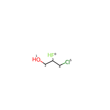 F.OCCCCl